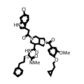 CNC(=O)[C@H](CCCc1ccccc1)NC(=O)C1CN(C(=O)Cc2c[nH]c3cc(Cl)ccc23)CC2CN(C(=O)c3ccc(OCCC4CC4)c(OC)c3)CC21